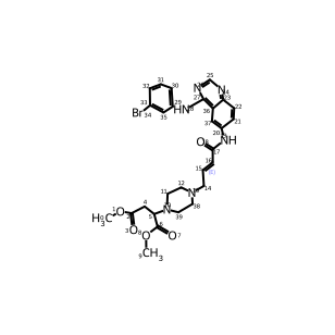 COC(=O)CC(C(=O)OC)N1CCN(C/C=C/C(=O)Nc2ccc3ncnc(Nc4cccc(Br)c4)c3c2)CC1